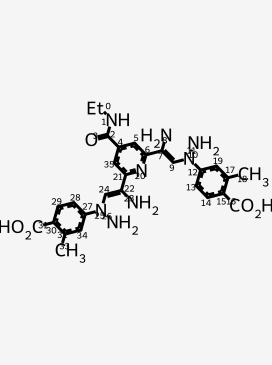 CCNC(=O)c1cc(/C(N)=C/N(N)c2ccc(C(=O)O)c(C)c2)nc(/C(N)=C/N(N)c2ccc(C(=O)O)c(C)c2)c1